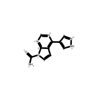 NC(=O)n1ccc2c(-c3cn[nH]c3)ncnc21